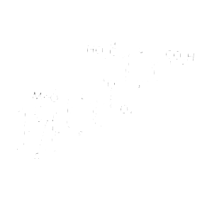 COc1cc(C(=O)Oc2ccc(C(=O)O)cc2C(=O)O)ccc1C12CC3CC(CC(C3)C1)C2